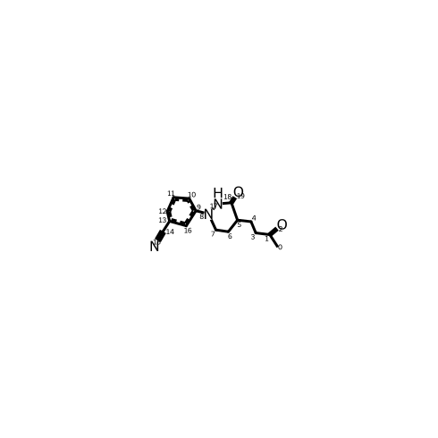 CC(=O)CCC1CCN(c2cccc(C#N)c2)NC1=O